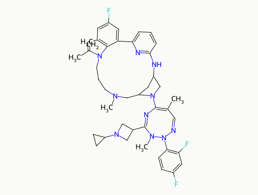 C=C(C)N1CCCN(C)CC2CC(CN2c2nc(C3CN(C4CC4)C3)n(C)n(-c3ccc(F)cc3F)ncc2C)Nc2cccc(n2)-c2cc(F)cc(C)c21